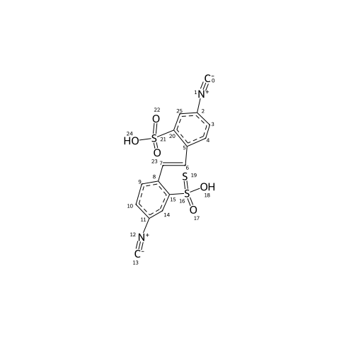 [C-]#[N+]c1ccc(C=Cc2ccc([N+]#[C-])cc2S(=O)(O)=S)c(S(=O)(=O)O)c1